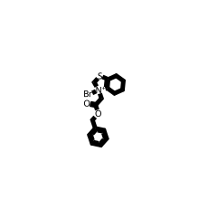 O=C(C[N+]1(Br)CSC2=C1CCCC2)OCc1ccccc1